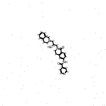 O=C(Nc1ccc2c(c1)CCN(CC(O)CN1CCc3ccccc3C1)C2=O)c1ccncc1